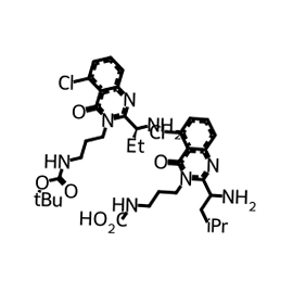 CC(C)CC(N)c1nc2cccc(Cl)c2c(=O)n1CCCNC(=O)O.CC[C@H](N)c1nc2cccc(Cl)c2c(=O)n1CCCNC(=O)OC(C)(C)C